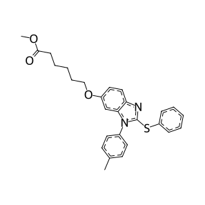 COC(=O)CCCCCOc1ccc2nc(Sc3ccccc3)n(-c3ccc(C)cc3)c2c1